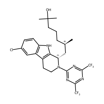 C[C@H](CCCC(C)(C)O)C[C@H]1c2[nH]c3ccc(Cl)cc3c2CCN1c1nc(C(F)(F)F)nc(C(F)(F)F)n1